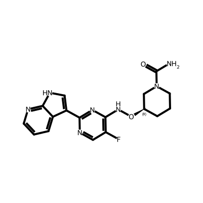 NC(=O)N1CCC[C@@H](ONc2nc(-c3c[nH]c4ncccc34)ncc2F)C1